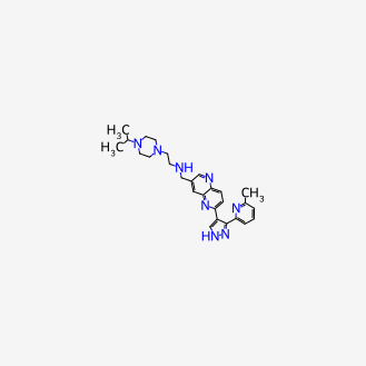 Cc1cccc(-c2n[nH]cc2-c2ccc3ncc(CNCCN4CCN(C(C)C)CC4)cc3n2)n1